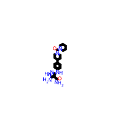 NC(=O)c1c(Nc2ccc(C3CCN(C(=O)N4CCCCC4)CC3)cc2)n[nH]c1N